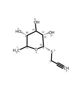 C#CCS[C@@H]1OC(C)[C@H](O)C(O)[C@@H]1O